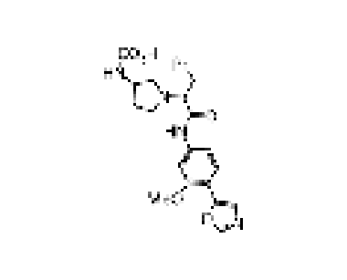 COc1cc(NC(=O)C(CC(C)C)N2CCC(NC(=O)O)C2)ccc1-c1cnco1